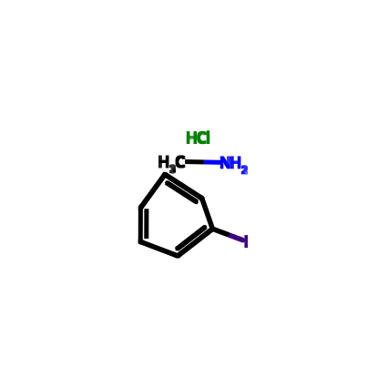 CN.Cl.Ic1ccccc1